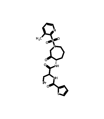 Cc1cccnc1S(=O)(=O)N1CCC[C@H](NC(=O)C(CC(C)C)NC(=O)c2cccs2)C(=O)C1